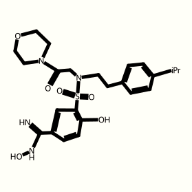 CC(C)c1ccc(CCN(CC(=O)N2CCOCC2)S(=O)(=O)c2cc(C(=N)NO)ccc2O)cc1